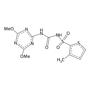 COc1nc(NC(=O)NS(=O)(=O)c2sccc2C)nc(OC)n1